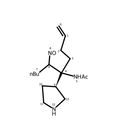 C=CCCC(NC(C)=O)(C(CCCC)N=O)[C@@H]1CCNC1